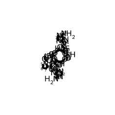 CC(C)(C)OC(=O)N1CCC[C@@H]1C(=O)O[C@@H]1[C@@H]2O[P@](=O)(S)OC[C@H]3O[C@@H](n4cnc5c(N)ncnc54)[C@H](F)[C@@H]3O[P@@](=O)(S)OC[C@H]2O[C@H]1n1cnc2c(N)ncnc21